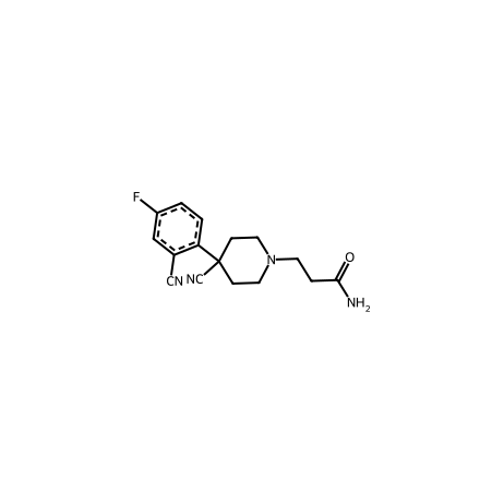 N#Cc1cc(F)ccc1C1(C#N)CCN(CCC(N)=O)CC1